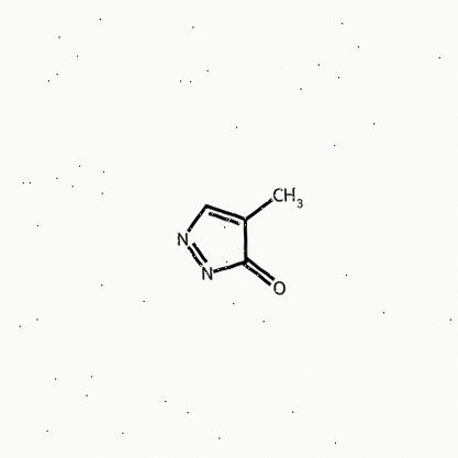 CC1=CN=NC1=O